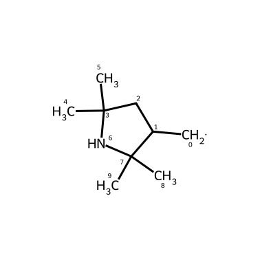 [CH2]C1CC(C)(C)NC1(C)C